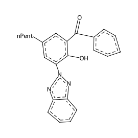 CCCCCc1cc(C(=O)c2ccccc2)c(O)c(-n2nc3ccccc3n2)c1